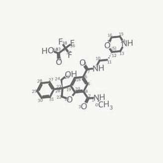 CNC(=O)c1cc(C(=O)NCC[C@H]2CNCCO2)cc2c1OC[C@]2(CO)c1ccccc1.O=C(O)C(F)(F)F